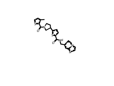 Cc1ccsc1C(=O)N1CCC(c2ccc(C(=O)NCc3ccn4ccnc4c3)s2)C1